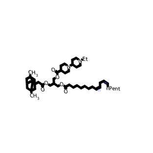 CCCCC/C=C\C/C=C\CCCCCCCC(=O)OCC(COC(=O)CC12CC3CC(C)(CC(C)(C3)C1)C2)COC(=O)C1CCN(C2CCN(CC)CC2)CC1